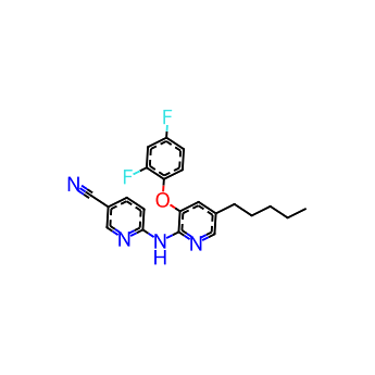 CCCCCc1cnc(Nc2ccc(C#N)cn2)c(Oc2ccc(F)cc2F)c1